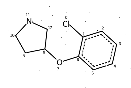 Clc1ccccc1OC1CC[N]C1